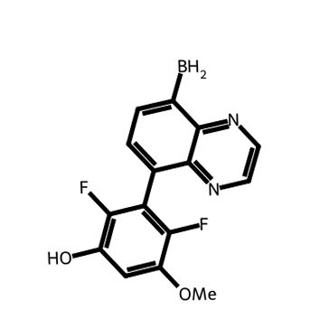 Bc1ccc(-c2c(F)c(O)cc(OC)c2F)c2nccnc12